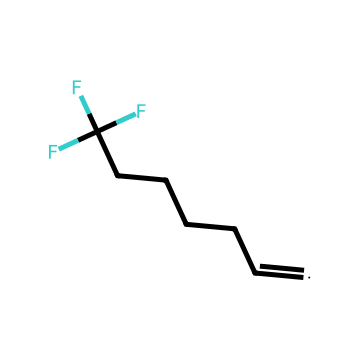 [CH]=CCCCCC(F)(F)F